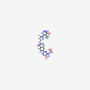 COc1cnc(-c2cc3ccn(CCC[C@H](C)Nc4cn[nH]c(=O)c4C(F)(F)F)c(=O)c3cc2F)nc1NC1COC1